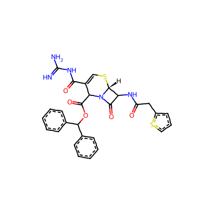 N=C(N)NC(=O)C1=CS[C@@H]2C(NC(=O)Cc3cccs3)C(=O)N2C1C(=O)OC(c1ccccc1)c1ccccc1